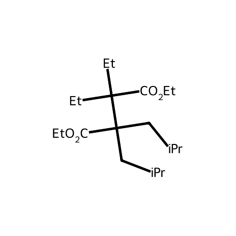 CCOC(=O)C(CC)(CC)C(CC(C)C)(CC(C)C)C(=O)OCC